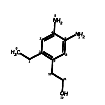 CCc1cc(N)c(N)cc1CCO